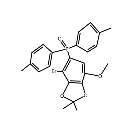 COc1cc(P(=O)(c2ccc(C)cc2)c2ccc(C)cc2)c(Br)c2c1OC(C)(C)O2